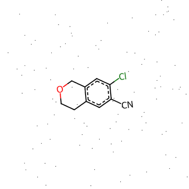 N#Cc1cc2c(cc1Cl)COCC2